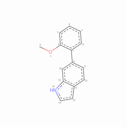 COc1[c]cccc1-c1ccc2cc[nH]c2c1